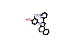 O=C(O)c1cc(-n2c(-c3ccccn3)cc3c2CCc2ccccc2-3)ccc1O